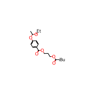 CCOC(C)Oc1ccc(C(=O)OCCCOC(=O)C(C)CC)cc1